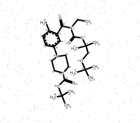 CCN(C(=O)OC(C)(C)COC(C)(C)C)C(=O)c1cc(N2CCN(C(=O)OC(C)(C)C)CC2)ccc1N